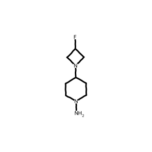 NN1CCC(N2CC(F)C2)CC1